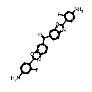 Nc1ccc(-c2nc3ccc(C(=O)c4ccc5nc(-c6ccc(N)cc6F)oc5c4)cc3o2)c(F)c1